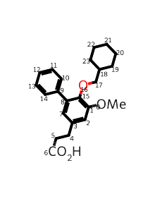 COc1cc(CCC(=O)O)cc(-c2ccccc2)c1OCC1CCCCC1